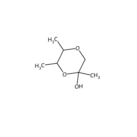 CC1OCC(C)(O)OC1C